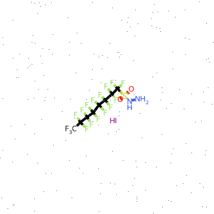 I.NNS(=O)(=O)C(F)(F)C(F)(F)C(F)(F)C(F)(F)C(F)(F)C(F)(F)C(F)(F)C(F)(F)F